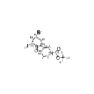 CC(C)(C)OC(=O)N1CCc2oc3c(I)cc(Br)cc3c2C1